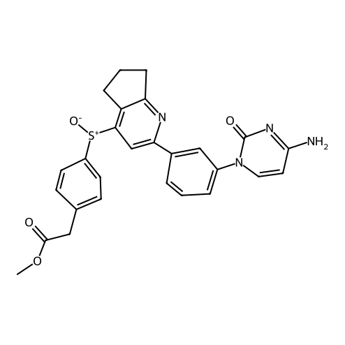 COC(=O)Cc1ccc([S+]([O-])c2cc(-c3cccc(-n4ccc(N)nc4=O)c3)nc3c2CCC3)cc1